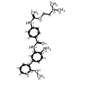 C=C(Nc1ccc(C(=O)Nc2cc(-c3cccnc3OC)ccc2N)cc1)OCCN(C)C